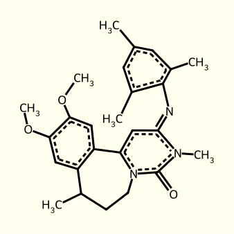 COc1cc2c(cc1OC)C(C)CCn1c-2cc(=Nc2c(C)cc(C)cc2C)n(C)c1=O